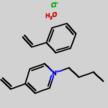 C=Cc1cc[n+](CCCC)cc1.C=Cc1ccccc1.O.[Cl-]